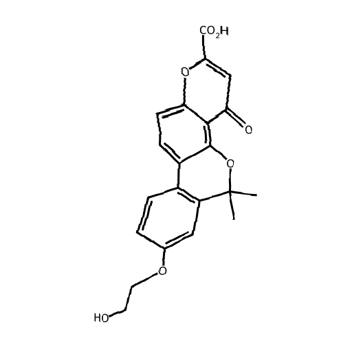 CC1(C)Oc2c(ccc3oc(C(=O)O)cc(=O)c23)-c2ccc(OCCO)cc21